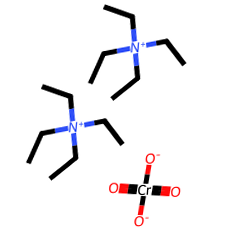 CC[N+](CC)(CC)CC.CC[N+](CC)(CC)CC.[O]=[Cr](=[O])([O-])[O-]